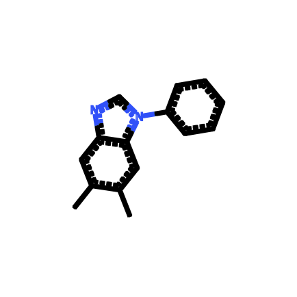 Cc1cc2ncn(-c3ccccc3)c2cc1C